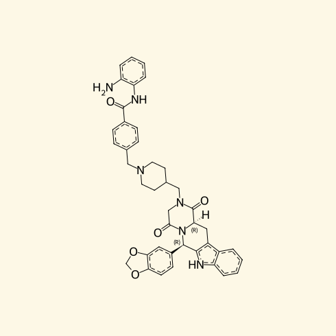 Nc1ccccc1NC(=O)c1ccc(CN2CCC(CN3CC(=O)N4[C@H](c5ccc6c(c5)OCO6)c5[nH]c6ccccc6c5C[C@@H]4C3=O)CC2)cc1